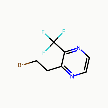 FC(F)(F)c1nccnc1CCBr